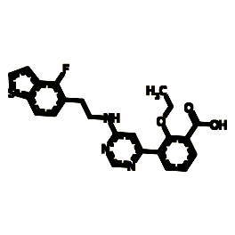 CCOc1c(C(=O)O)cccc1-c1cc(NCCc2ccc3sccc3c2F)ncn1